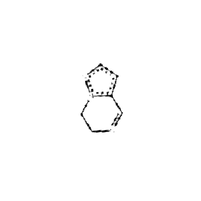 C1=NCCn2nccc21